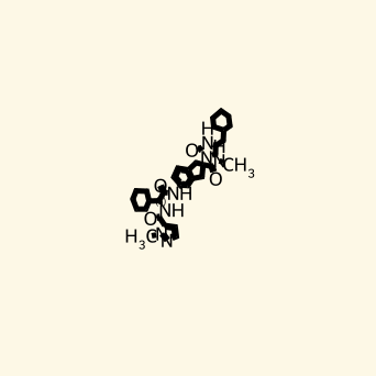 CNC(=O)C1(N2CC(CC3CCCCC3)NC2=O)Cc2ccc(NC(=O)[C@@H](NC(=O)c3ccnn3C)C3CCCCC3)cc2C1